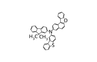 CC1(C)c2ccccc2-c2ccc(N(c3ccc4c(ccc5oc6ccccc6c54)c3)c3ccc4sc5ccccc5c4c3)cc21